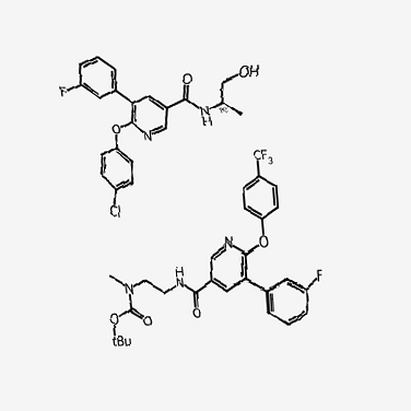 CN(CCNC(=O)c1cnc(Oc2ccc(C(F)(F)F)cc2)c(-c2cccc(F)c2)c1)C(=O)OC(C)(C)C.C[C@H](CO)NC(=O)c1cnc(Oc2ccc(Cl)cc2)c(-c2cccc(F)c2)c1